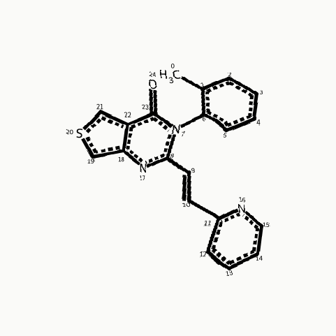 Cc1ccccc1-n1c(C=Cc2ccccn2)nc2cscc2c1=O